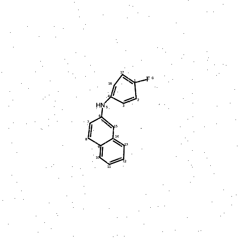 Fc1ccc(Nc2ccc3ccccc3c2)cc1